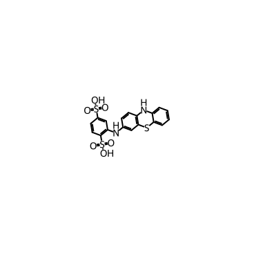 O=S(=O)(O)c1ccc(S(=O)(=O)O)c(Nc2ccc3c(c2)Sc2ccccc2N3)c1